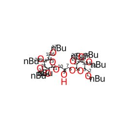 CCCCOCC1OC(OCC(O)COC2OC(COCCCC)C(OCCCC)C(OCCCC)C2OCCCC)C(OCCCC)C(OCCCC)C1OCCCC